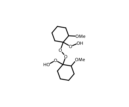 COC1CCCCC1(OO)OOC1(OO)CCCCC1OC